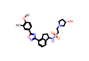 CC(C)Oc1ccc(-c2nc(-c3cccc4c3CCC4NS(=O)(=O)CCN3CC[C@H](O)C3)no2)cc1C#N